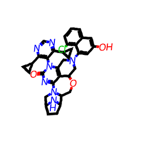 O=c1nc2c3c(n1-c1c(C4CC4)ncnc1C1CC1)CN(c1cc(O)cc4cccc(Cl)c14)CC3OCC1C3CCC(CN21)N3